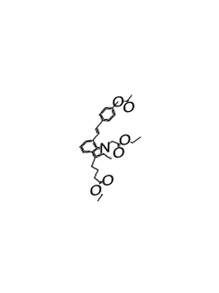 CCOC(=O)CCCc1c(C)n(CC(=O)OCC)c2c(/C=C/c3ccc(OC(C)=O)cc3)cccc12